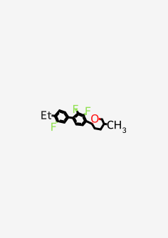 CCc1ccc(-c2ccc(C3CCC(C)CO3)c(F)c2F)cc1F